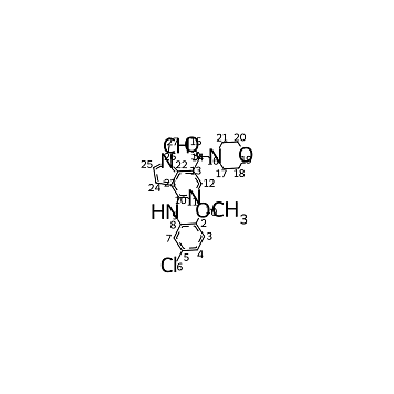 COc1ccc(Cl)cc1Nc1ncc(C(=O)N2CCOCC2)c2c1ccn2C